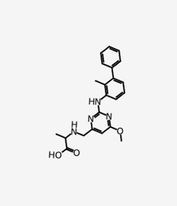 COc1cc(CNC(C)C(=O)O)nc(Nc2cccc(-c3ccccc3)c2C)n1